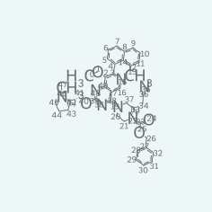 COc1c(-c2cccc3cccc(C)c23)ncc2c(N3CCN(C(=O)OCc4ccccc4)[C@@H](CC#N)C3)nc(OC[C@@H]3CCCN3C)nc12